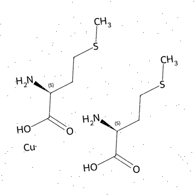 CSCC[C@H](N)C(=O)O.CSCC[C@H](N)C(=O)O.[Cu]